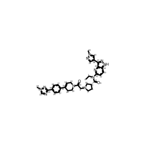 CCN(C(=O)[C@@H]1CCN(CC(=O)N2CC=C(c3ccc(-c4ncn(C)n4)cc3)CC2)C1)c1ccc2[nH]nc(-c3cnn(C)c3)c2n1